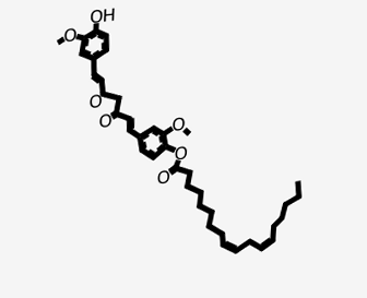 CCCCC/C=C\C/C=C\CCCCCCCC(=O)Oc1ccc(/C=C/C(=O)CC(=O)/C=C/c2ccc(O)c(OC)c2)cc1OC